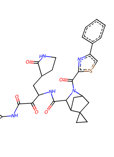 O=C(NC1CC1)C(=O)C(CC1CCNC1=O)NC(=O)C1C2CC(CC23CC3)N1C(=O)c1nc(-c2ccccc2)cs1